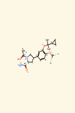 [2H]C([2H])(Oc1cc(C2C[C@H](C(N)=O)N(C(C)=O)C2)ccc1OC(F)F)C1CC1